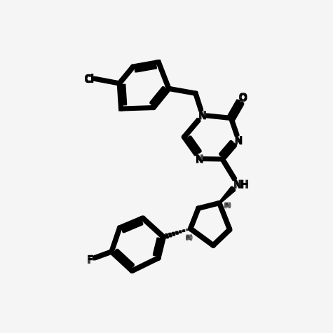 O=c1nc(N[C@H]2CC[C@H](c3ccc(F)cc3)C2)ncn1Cc1ccc(Cl)cc1